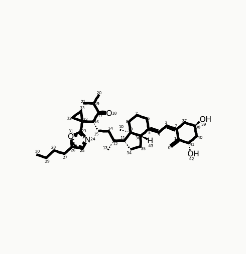 C=C1/C(=C\C=C2/CCC[C@]3(C)[C@@H]([C@H](C)CC[C@@H](C(=O)C(C)C)C4(c5ncc(CCCC)o5)CC4)CC[C@@H]23)C[C@@H](O)C[C@@H]1O